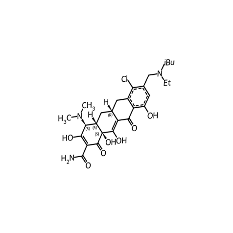 CCC(C)N(CC)Cc1cc(O)c2c(c1Cl)C[C@H]1C[C@H]3[C@H](N(C)C)C(O)=C(C(N)=O)C(=O)[C@@]3(O)C(O)=C1C2=O